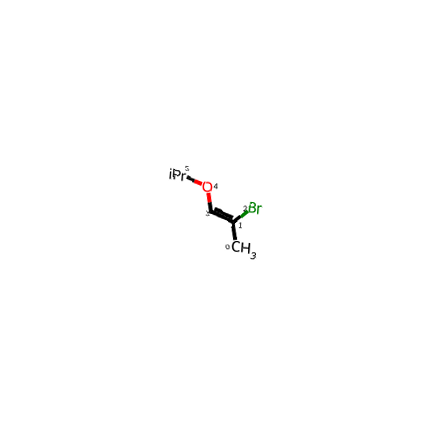 C/C(Br)=C/OC(C)C